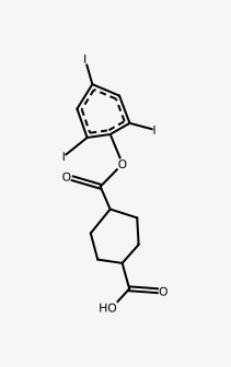 O=C(O)C1CCC(C(=O)Oc2c(I)cc(I)cc2I)CC1